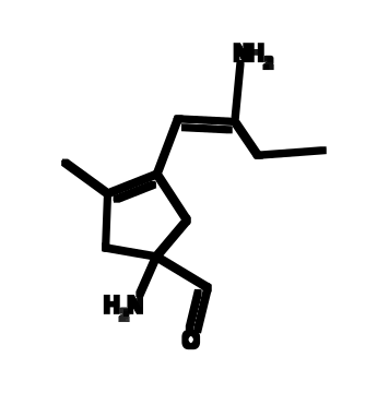 CC/C(N)=C\C1=C(C)CC(N)(C=O)C1